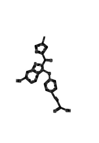 Cc1coc(C(=O)c2sc3cc(O)ccc3c2Oc2ccc(/C=C/C(=O)O)cc2)c1